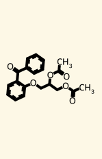 CC(=O)OCC(COc1ccccc1C(=O)c1ccccc1)OC(C)=O